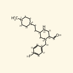 CN1CCN(CCC2CN(Cc3ccc(F)cc3)C(C=O)CN2)CC1